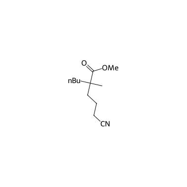 CCCCC(C)(CCCC#N)C(=O)OC